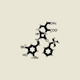 CC(=O)OCC1=C(C(=O)[O-])N2C(=O)[C@@H](/N=C/c3cc(C(C)(C)C)c(O)c(C(C)(C)C)c3)[C@H]2SC1.C[N+](C)(C)Cc1ccccc1